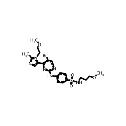 COCCCNS(=O)(=O)c1ccc(Nc2ncc(Br)c(-c3cnc(C)n3CCOC)n2)cc1